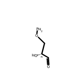 O=C[C@H](O)COP